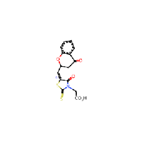 O=C(O)CN1C(=O)/C(=C\C2CC(=O)c3ccccc3O2)SC1=S